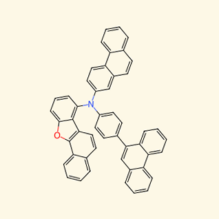 c1ccc2c(c1)ccc1cc(N(c3ccc(-c4cc5ccccc5c5ccccc45)cc3)c3cccc4oc5c6ccccc6ccc5c34)ccc12